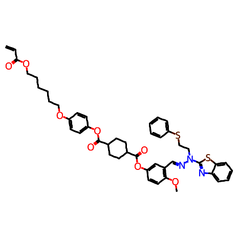 C=CC(=O)OCCCCCCOc1ccc(OC(=O)C2CCC(C(=O)Oc3ccc(OC)c(/C=N/N(CCSc4ccccc4)c4nc5ccccc5s4)c3)CC2)cc1